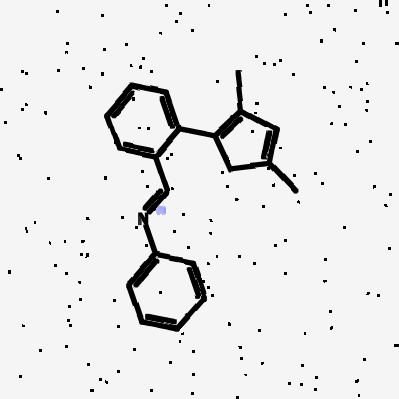 CC1=CC(C)=C(c2ccccc2/C=N/c2ccccc2)C1